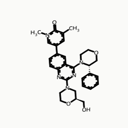 Cc1cc(-c2ccc3nc(N4CCO[C@H](CO)C4)nc(N4CCOC[C@@H]4c4ccccc4)c3c2)cn(C)c1=O